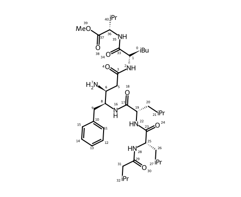 CC[C@H](C)[C@H](NC(=O)C[C@H](N)[C@H](Cc1ccccc1)NC(=O)[C@H](CC(C)C)NC(=O)[C@H](CC(C)C)NC(=O)CC(C)C)C(=O)N[C@H](C(=O)OC)C(C)C